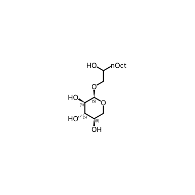 CCCCCCCCC(O)CO[C@H]1OC[C@@H](O)[C@H](O)[C@H]1O